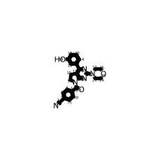 N#Cc1ccc(C(=O)N2CCc3c(-c4cccc(O)c4)nc(N4CCOCC4)nc32)cc1